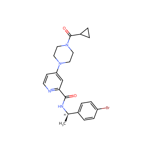 C[C@@H](NC(=O)c1cc(N2CCN(C(=O)C3CC3)CC2)ccn1)c1ccc(Br)cc1